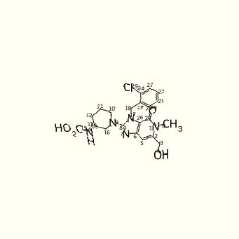 Cn1c(CO)cc2nc(N3CCC[C@@H](NC(=O)O)C3)n(Cc3ccccc3Cl)c2c1=O